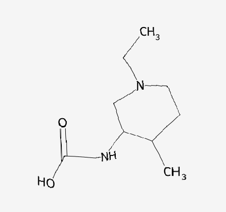 CCN1CCC(C)C(NC(=O)O)C1